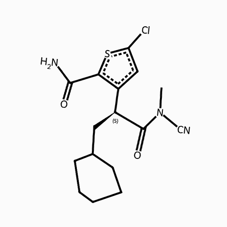 CN(C#N)C(=O)[C@@H](CC1CCCCC1)c1cc(Cl)sc1C(N)=O